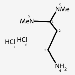 CNC(CCN)NC.Cl.Cl